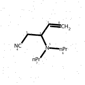 C=CC(CC#N)N(CCC)CCC